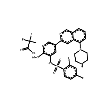 COc1ncc(-c2cc3c(N4CCNCC4)cccc3cn2)cc1NS(=O)(=O)c1ccc(F)cc1F.O=C(O)C(F)(F)F